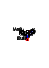 COc1ccc(CC2N(C(=O)OCC(C)C)C/C(=C/c3ccccn3)C(=O)C2(C)C)cc1